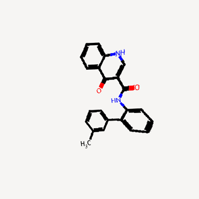 Cc1cccc(-c2ccccc2NC(=O)c2c[nH]c3ccccc3c2=O)c1